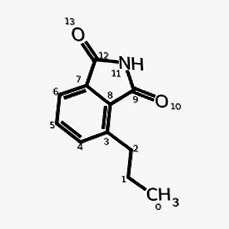 CCCc1cccc2c1C(=O)NC2=O